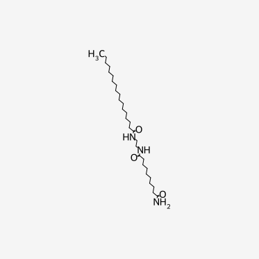 CCCCCCCCCCCCCCCCCC(=O)NCCNC(=O)CCCCCCCCC(N)=O